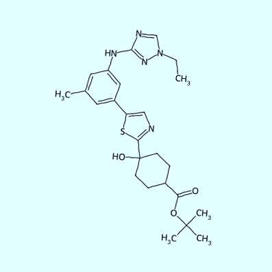 CCn1cnc(Nc2cc(C)cc(-c3cnc(C4(O)CCC(C(=O)OC(C)(C)C)CC4)s3)c2)n1